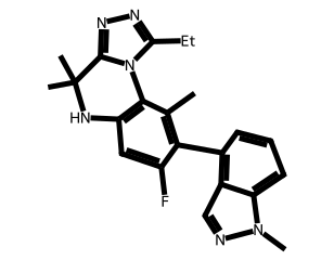 CCc1nnc2n1-c1c(cc(F)c(-c3cccc4c3cnn4C)c1C)NC2(C)C